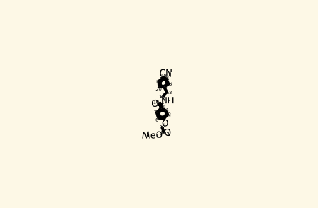 COC(=O)COc1ccc(C(=O)NCCc2ccc(C#N)cc2)cc1